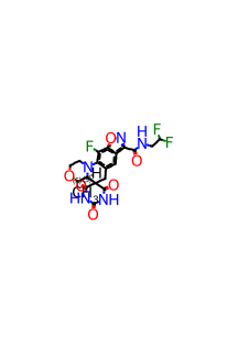 C[C@@H]1OCCN2c3c(cc4c(C(=O)NCC(F)F)noc4c3F)CC3(C(=O)NC(=O)NC3=O)[C@@H]12